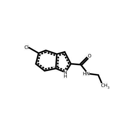 CCNC(=O)c1cc2cc(Cl)ccc2[nH]1